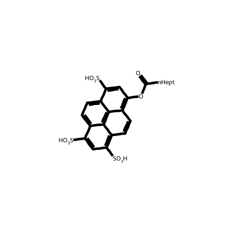 CCCCCCCC(=O)Oc1cc(S(=O)(=O)O)c2ccc3c(S(=O)(=O)O)cc(S(=O)(=O)O)c4ccc1c2c43